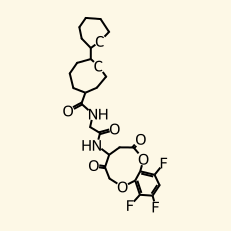 O=C(CNC(=O)C1CCCC(C2CCCCCC2)CCC1)NC1CC(=O)Oc2c(F)cc(F)c(F)c2OCC1=O